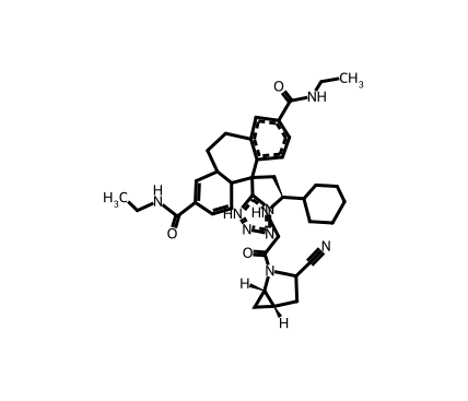 CCNC(=O)C1=CC2CCc3cc(C(=O)NCC)ccc3C(C[C@H](NCC(=O)N3C(C#N)C[C@@H]4C[C@@H]43)C3CCCCC3)(c3nnn[nH]3)C2C=C1